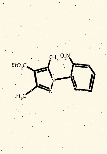 CCOC(=O)c1c(C)nn(-c2ccccc2[N+](=O)[O-])c1C